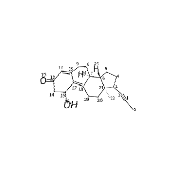 CC#CC1CC[C@H]2[C@@H]3CCC4=CC(=O)CC(O)C4=C3CC[C@]12C